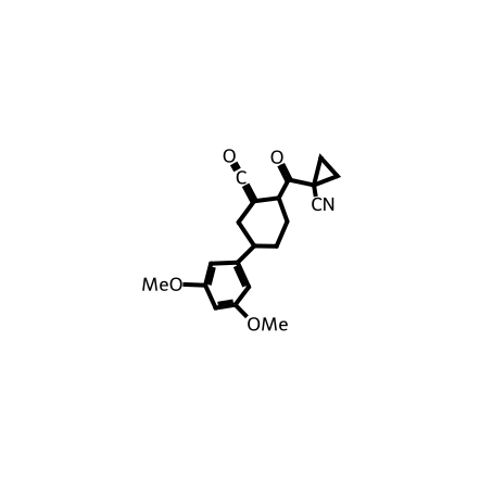 COc1cc(OC)cc(C2CCC(C(=O)C3(C#N)CC3)C(=C=O)C2)c1